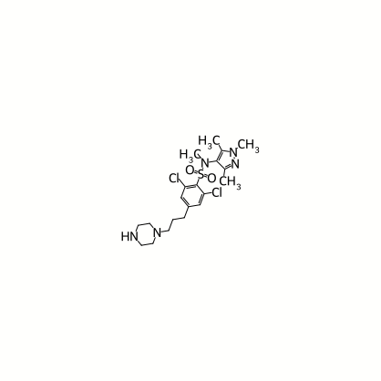 Cc1nn(C)c(C)c1N(C)S(=O)(=O)c1c(Cl)cc(CCCN2CCNCC2)cc1Cl